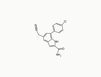 N#CCc1cc(-c2ccc(Cl)cc2)c2[nH]c(C(N)=O)cc2c1